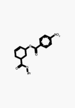 CC(C)OC(=O)C1CC=CC(OC(=O)c2ccc([N+](=O)[O-])cc2)C1